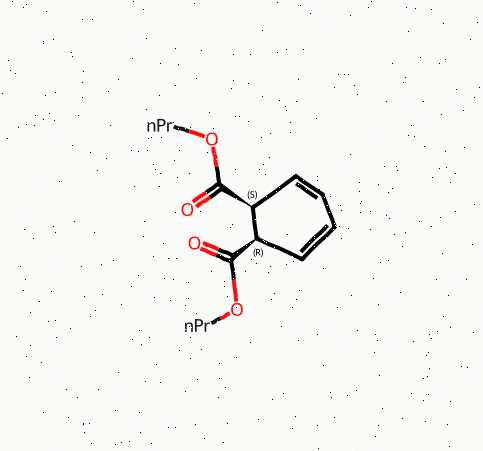 CCCOC(=O)[C@H]1C=CC=C[C@H]1C(=O)OCCC